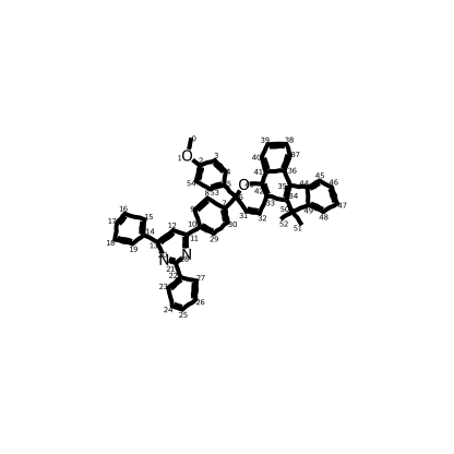 COc1ccc(C2(c3ccc(-c4cc(-c5ccccc5)nc(-c5ccccc5)n4)cc3)C=Cc3c4c(c5ccccc5c3O2)-c2ccccc2C4(C)C)cc1